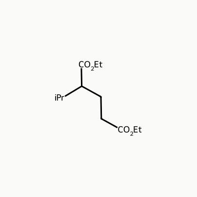 CCOC(=O)CCC(C(=O)OCC)C(C)C